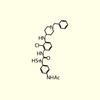 CC(=O)Nc1ccc(N(S)C(=O)Nc2cccc(NC3CCN(Cc4ccccc4)CC3)c2Cl)cc1